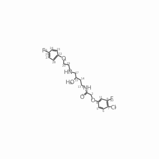 O=C(COc1ccc(Cl)c(F)c1)NCCC(O)CNCCOc1ccc(F)cc1